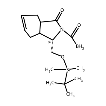 BC(=O)N1C(=O)C2CC=CCC2[C@H]1CO[Si](C)(C)C(C)(C)C